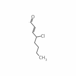 CCCCC(Cl)C=C[C]=O